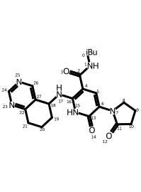 CCC(C)NC(=O)c1cc(N2CCCC2=O)c(=O)[nH]c1NC1CCCc2ncncc21